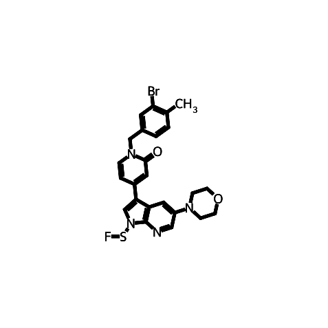 Cc1ccc(Cn2ccc(-c3cn(SF)c4ncc(N5CCOCC5)cc34)cc2=O)cc1Br